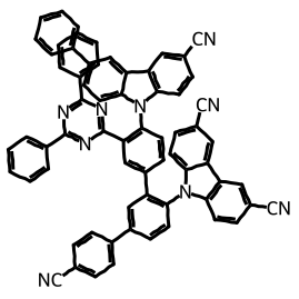 N#Cc1ccc(-c2ccc(-n3c4ccc(C#N)cc4c4cc(C#N)ccc43)c(-c3ccc(-n4c5ccc(C#N)cc5c5cc(-c6ccccc6)ccc54)c(-c4nc(-c5ccccc5)nc(-c5ccccc5)n4)c3)c2)cc1